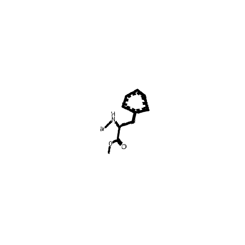 COC(=O)C(Cc1ccccc1)NBr